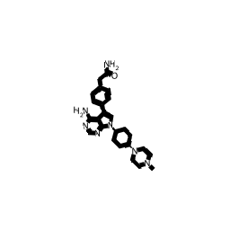 CN1CCN([C@H]2CC[C@H](n3cc(-c4ccc(CC(N)=O)cc4)c4c(N)ncnc43)CC2)CC1